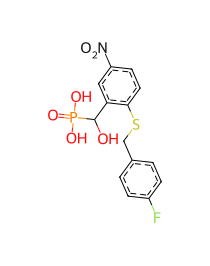 O=[N+]([O-])c1ccc(SCc2ccc(F)cc2)c(C(O)P(=O)(O)O)c1